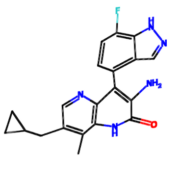 Cc1c(CC2CC2)cnc2c(-c3ccc(F)c4[nH]ncc34)c(N)c(=O)[nH]c12